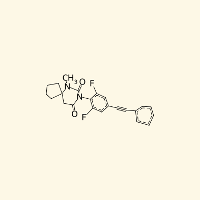 CN1C(=O)N(c2c(F)cc(C#Cc3ccccc3)cc2F)C(=O)CC12CCCC2